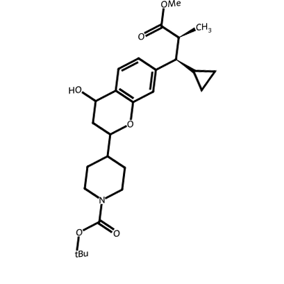 COC(=O)[C@@H](C)[C@H](c1ccc2c(c1)OC(C1CCN(C(=O)OC(C)(C)C)CC1)CC2O)C1CC1